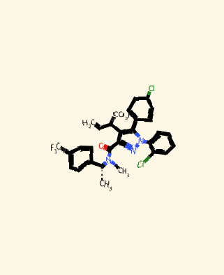 C=CC(C(=O)O)c1c(C(=O)N(C)[C@H](C)c2ccc(C(F)(F)F)cc2)nn(-c2ccccc2Cl)c1C1=CCC(Cl)C=C1